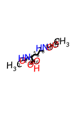 COCNC(CCCCNOCOC)C(=O)O